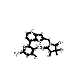 CCC1(C)C(=O)N(Cc2cc3nccc(-c4nc(C(F)(F)F)cc(C)c4C(=O)O)c3s2)C(=O)C1C